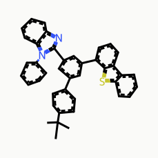 CC(C)(C)c1ccc(-c2cc(-c3cccc4c3sc3ccccc34)cc(-c3nc4ccccc4n3-c3ccccc3)c2)cc1